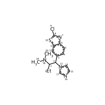 CCC(C(c1ccc2nc(Cl)sc2c1)n1ccnc1)N(C)C